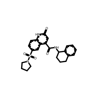 O=C(NC1CCCc2ccccc21)c1cc(=O)[nH]c2ccc(S(=O)(=O)N3CCCC3)cc12